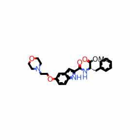 COC(=O)[C@H](Cc1ccccc1)NC(=O)c1cc2cc(OCCN3CCOCC3)ccc2[nH]1